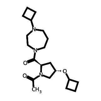 CC(=O)N1C[C@@H](OC2CCC2)C[C@@H]1C(=O)N1CCCN(C2CCC2)CC1